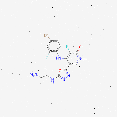 Cn1cc(-c2nnc(NCCN)o2)c(Nc2ccc(Br)cc2F)c(F)c1=O